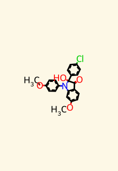 COc1ccc(N2c3cc(OC)ccc3C(=O)C2(O)c2ccc(Cl)cc2)cc1